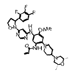 C=CC(=O)Nc1cc(Nc2cc(N3OCCC3c3ccc(F)c(F)c3F)ncn2)c(OC)cc1N1CCC(N2C[C@@H](C)O[C@@H](C)C2)CC1